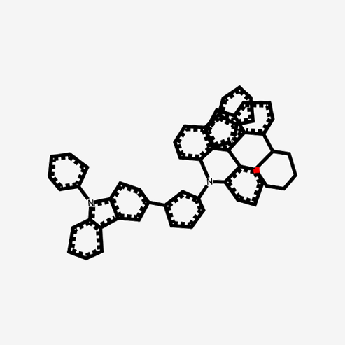 c1ccc(-n2c3ccccc3c3cc(-c4cccc(N(c5ccccc5-c5cccc6cccc(C7CCCCC7)c56)c5cccc6c5oc5ccccc56)c4)ccc32)cc1